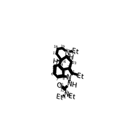 CCc1c2c3c(cccc3n1NC(=O)N(CC)CC)[C@H]1CCCN(CC)[C@@H]1C2